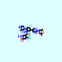 CC1CN(c2ncc(-c3c(F)cc(N4CCN(C)C(C)C4)c(NC(=O)c4c[nH]c(=O)cc4C(F)(F)F)c3F)cn2)CC(C)O1